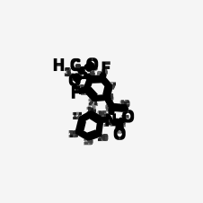 CS(=O)(=O)c1c(F)cc(-c2coc(=O)n2-c2ccccc2)cc1F